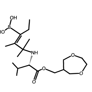 CC/C(B(O)O)=C(/C)C(C)(C)N[C@H](C(=O)OCC1COCCOC1)C(C)C